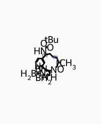 BC(B)(B)n1ncc2c1-c1cc(ccn1)[C@@H](NC(=O)OC(C)(C)C)C/C=C/[C@@H](C)C(=O)N2